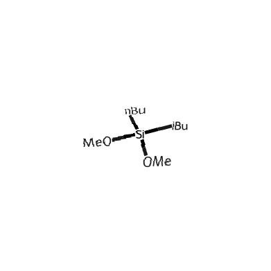 CCCC[Si](OC)(OC)C(C)CC